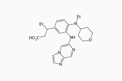 CCC(CC(=O)O)c1ccc(N(CC)C2CCOCC2)c(Nc2cn3ccnc3cn2)c1